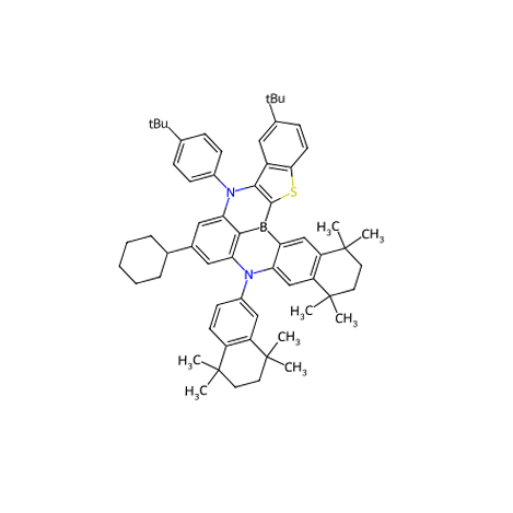 CC(C)(C)c1ccc(N2c3cc(C4CCCCC4)cc4c3B(c3cc5c(cc3N4c3ccc4c(c3)C(C)(C)CCC4(C)C)C(C)(C)CCC5(C)C)c3sc4ccc(C(C)(C)C)cc4c32)cc1